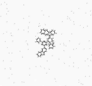 c1ccc(-c2nc(-c3ccc4sc5ccccc5c4c3)nc(-c3cc(-n4c5ccccc5c5cc6ccccc6cc54)cc4oc5ccccc5c34)n2)cc1